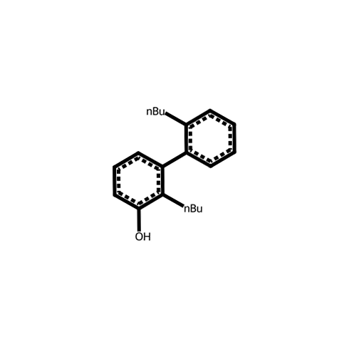 CCCCc1ccccc1-c1cccc(O)c1CCCC